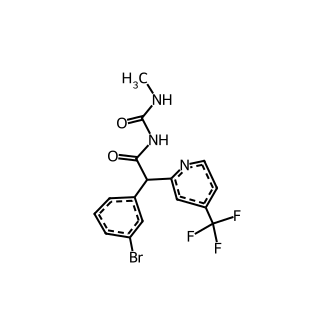 CNC(=O)NC(=O)C(c1cccc(Br)c1)c1cc(C(F)(F)F)ccn1